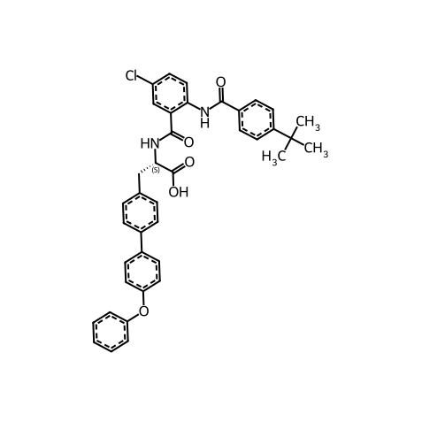 CC(C)(C)c1ccc(C(=O)Nc2ccc(Cl)cc2C(=O)N[C@@H](Cc2ccc(-c3ccc(Oc4ccccc4)cc3)cc2)C(=O)O)cc1